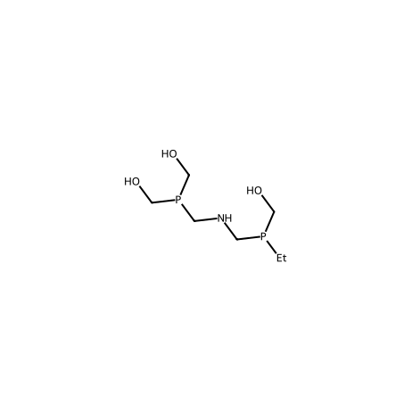 CCP(CO)CNCP(CO)CO